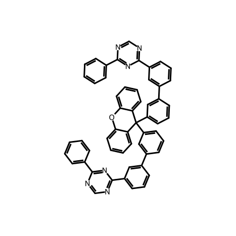 c1ccc(-c2ncnc(-c3cccc(-c4cccc(C5(c6cccc(-c7cccc(-c8ncnc(-c9ccccc9)n8)c7)c6)c6ccccc6Oc6ccccc65)c4)c3)n2)cc1